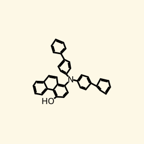 Oc1ccc(N(c2ccc(-c3ccccc3)cc2)c2ccc(-c3ccccc3)cc2)c2ccc3ccccc3c12